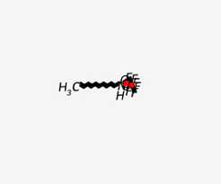 CCCCCCCCCCCCNS(=O)(=O)C(F)(F)C(F)(F)C(F)(F)F